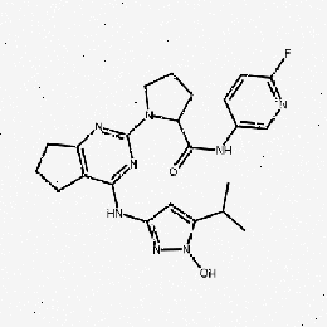 CC(C)c1cc(Nc2nc(N3CCCC3C(=O)Nc3ccc(F)nc3)nc3c2CCC3)nn1O